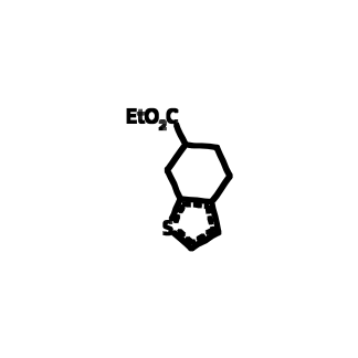 CCOC(=O)C1CCc2ccsc2C1